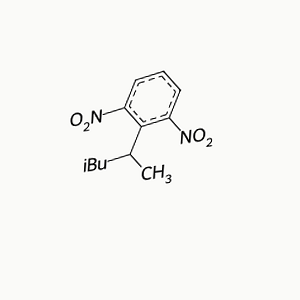 CCC(C)C(C)c1c([N+](=O)[O-])cccc1[N+](=O)[O-]